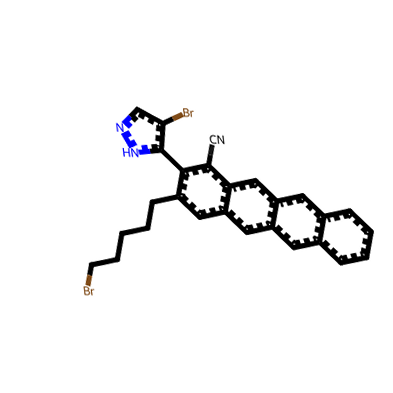 N#Cc1c(-c2[nH]ncc2Br)c(CCCCCBr)cc2cc3cc4ccccc4cc3cc12